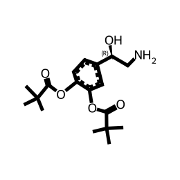 CC(C)(C)C(=O)Oc1ccc([C@@H](O)CN)cc1OC(=O)C(C)(C)C